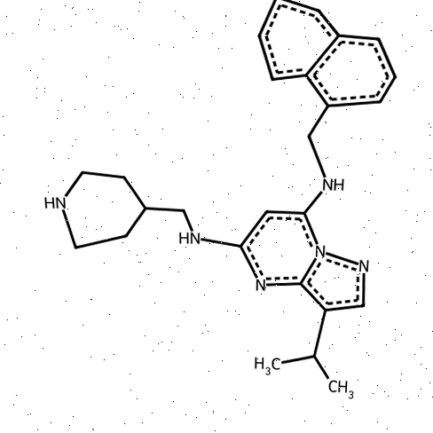 CC(C)c1cnn2c(NCc3cccc4ccccc34)cc(NCC3CCNCC3)nc12